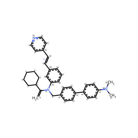 C=C(C1CCCCC1)N(Cc1ccc(-c2ccc(N(C)C)cc2)cc1)c1cccc(/C=C/c2ccncc2)c1